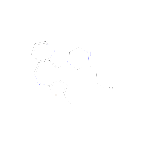 COCCC1CN(C2=c3ncccc3=CNc3sc(C(C)C)cc32)CCN1